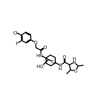 CC1NC(C(=O)NC23CCC(NC(=O)COc4ccc(Cl)c(F)c4)(CC2)C(O)C3)C(C)O1